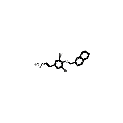 O=C(O)C=Cc1cc(Br)c(OCc2ccc3ccccc3c2)c(Br)c1